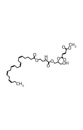 CC/C=C\C/C=C\C/C=C\C/C=C\C/C=C\CCCC(=O)OCCNC(=O)OCC(CO)OC(=O)/C=C/C(=O)OC